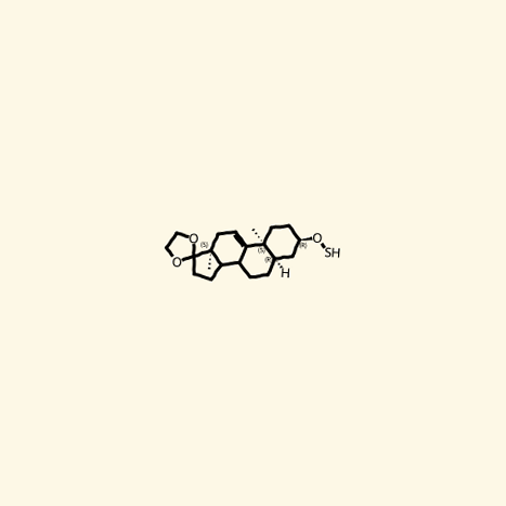 C[C@]12CC=C3C(CC[C@@H]4C[C@H](OS)CC[C@]34C)C1CCC21OCCO1